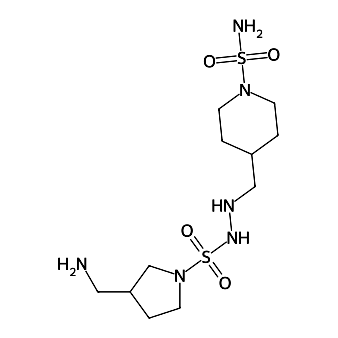 NCC1CCN(S(=O)(=O)NNCC2CCN(S(N)(=O)=O)CC2)C1